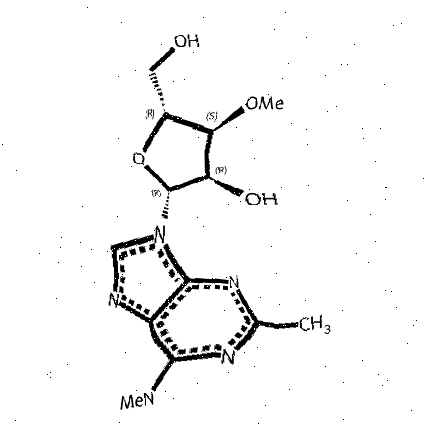 CNc1nc(C)nc2c1ncn2[C@@H]1O[C@H](CO)[C@@H](OC)[C@H]1O